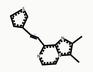 Cc1nc2c(/C=C/c3ccsc3)nccn2c1C